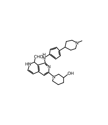 CN1CCC(c2ccc(Nc3nc(N4CCCC(O)C4)cc4c3C(C=O)NC=C4)cc2)CC1